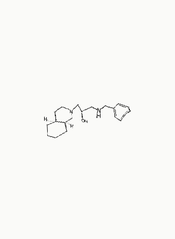 O[C@H](CNCc1ccccc1)CN1CC[C@@H]2CCCC[C@@H]2C1